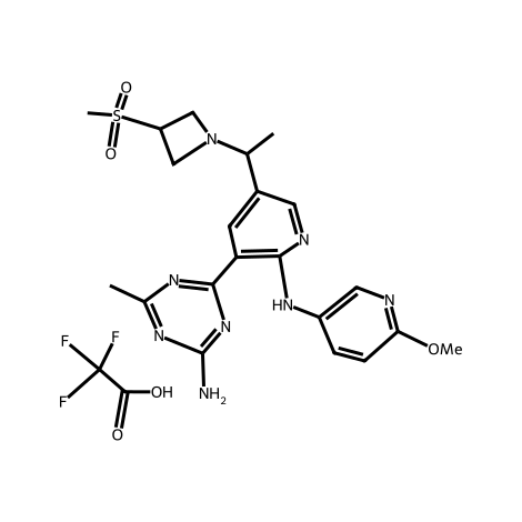 COc1ccc(Nc2ncc(C(C)N3CC(S(C)(=O)=O)C3)cc2-c2nc(C)nc(N)n2)cn1.O=C(O)C(F)(F)F